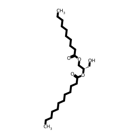 CCCCCCCCCCCC(=O)O[C@@H](CO)COC(=O)CCCCCCCCC